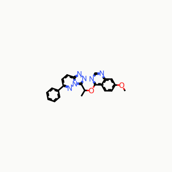 COc1ccc2c(OC(C)c3nnc4ccc(-c5ccccc5)nn34)ncnc2c1